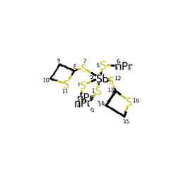 CCC[S][Sb]([S]CCC)([S]CCC)([S]C1CCS1)[S]C1CCS1